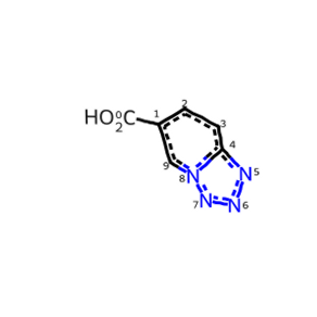 O=C(O)c1ccc2nnnn2c1